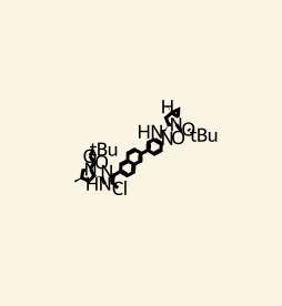 C[C@@H]1C[C@@H](c2nc(-c3ccc4cc(-c5ccc6nc([C@@H]7C[C@H]8CC8N7C(=O)OC(C)(C)C)[nH]c6c5)ccc4c3)c(Cl)[nH]2)N(C(=O)OC(C)(C)C)C1